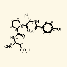 CC(C)[C@H](NC(=O)c1ccc(O)cc1)C(=O)N1CCCC1C(=O)NC(C=O)CC(=O)O